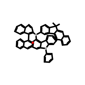 CC1(C)c2ccc(N(c3ccc4ccccc4c3-c3cccc4ccccc34)c3cccc4c3c3ccccc3n4-c3ccccc3)cc2-c2cc3ccccc3cc21